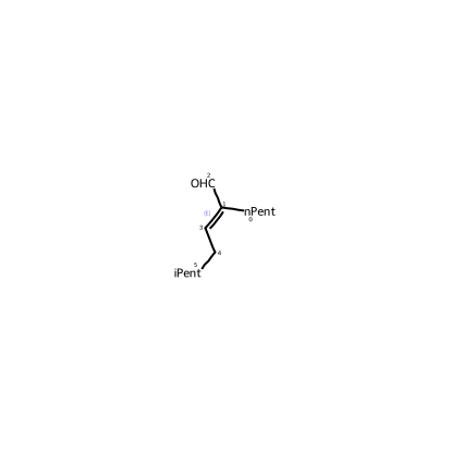 CCCCC/C(C=O)=C\CC(C)CCC